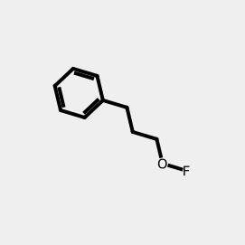 FOCCCc1ccccc1